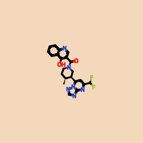 C[C@@H]1CCN(C(=O)c2cnc3ccccc3c2O)C[C@H]1c1cc(C(F)F)nc2ncnn12